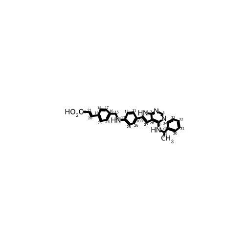 CC(Nc1ncnc2[nH]c(-c3ccc(NCc4ccc(C=CC(=O)O)cc4)cc3)cc12)c1ccccc1